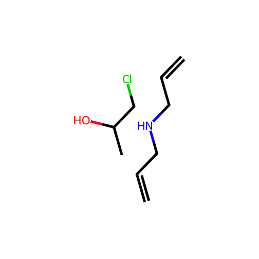 C=CCNCC=C.CC(O)CCl